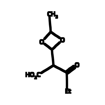 CCC(=O)C(C(=O)O)C1OC(C)O1